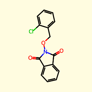 O=C1c2ccccc2C(=O)N1OCc1ccccc1Cl